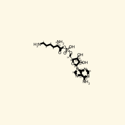 NCCCC[C@H](N)C(=O)OP(=O)(O)OC[C@H]1O[C@@H](n2cnc3c(N)ncnc32)[C@H](O)[C@@H]1O